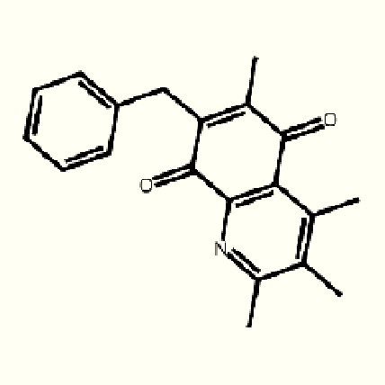 CC1=C(Cc2ccccc2)C(=O)c2nc(C)c(C)c(C)c2C1=O